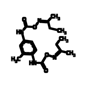 CCC(C)=NOC(=O)Nc1ccc(NC(=O)ON=C(C)CC)c(C)c1